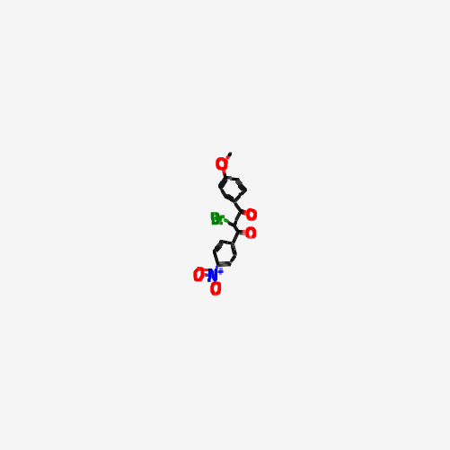 COc1ccc(C(=O)C(Br)C(=O)c2ccc([N+](=O)[O-])cc2)cc1